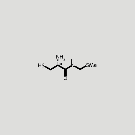 CSCNC(=O)[C@@H](N)CS